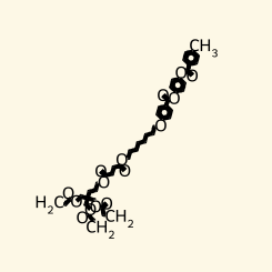 C=CC(=O)OCC(CCCOC(=O)CCC(=O)OCCCCCCCCOc1ccc(C(=O)Oc2ccc(OC(=O)c3ccc(C)cc3)cc2)cc1)(COC(=O)C=C)COC(=O)C=C